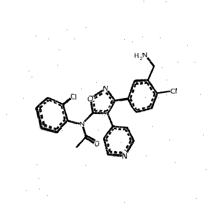 CC(=O)N(c1ccccc1Cl)c1onc(-c2ccc(Cl)c(CN)c2)c1-c1ccncc1